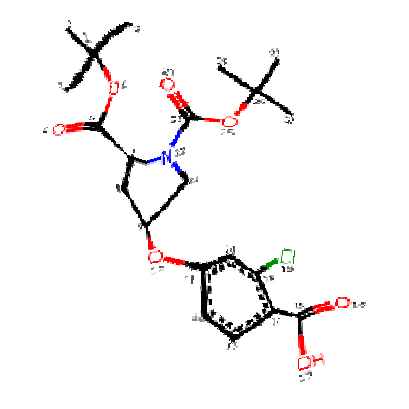 CC(C)(C)OC(=O)[C@@H]1C[C@H](Oc2ccc(C(=O)O)c(Cl)c2)CN1C(=O)OC(C)(C)C